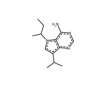 CCC(C)n1cc(C(C)C)c2ncnc(N)c21